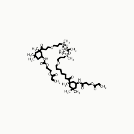 C=CC(=O)OCCOC(=O)NC1CC(C)(C)CC(C)(C(=O)CCOCCC[Si](C)(C)O[Si](C)(C)O[Si](C)(C)CCCOCCCCCCC(=O)C2(C)CC(NC(=O)CCOC(=O)C=C)CC(C)(C)C2)C1